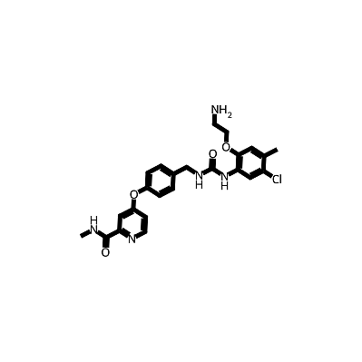 CNC(=O)c1cc(Oc2ccc(CNC(=O)Nc3cc(Cl)c(C)cc3OCCN)cc2)ccn1